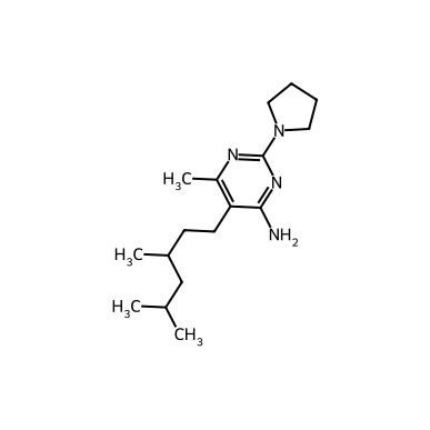 Cc1nc(N2CCCC2)nc(N)c1CCC(C)CC(C)C